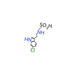 O=S(=O)(O)CCNCCc1c[nH]c2cc(Cl)ccc12